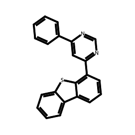 c1ccc(-c2cc(-c3cccc4c3sc3ccccc34)ncn2)cc1